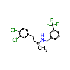 C[C@H](CCc1ccc(Cl)c(Cl)c1)NCc1cccc(C(F)(F)F)c1